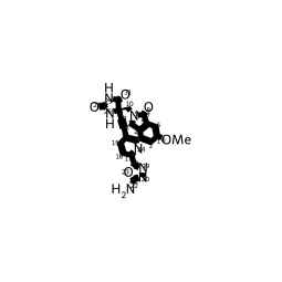 COc1ccc2c(c1)C(=O)N(C[C@@]1(C#Cc3ccc(-c4nnc(N)o4)nc3)NC(=O)NC1=O)C2